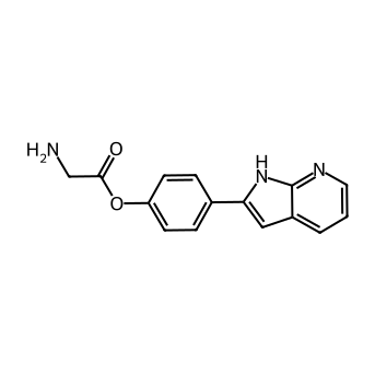 NCC(=O)Oc1ccc(-c2cc3cccnc3[nH]2)cc1